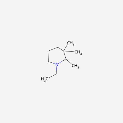 CCN1CCCC(C)(C)C1C